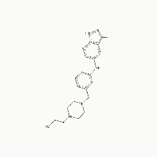 Cc1n[nH]c2ncc(Nc3cccc(CN4CCN(CCO)CC4)c3)cc12